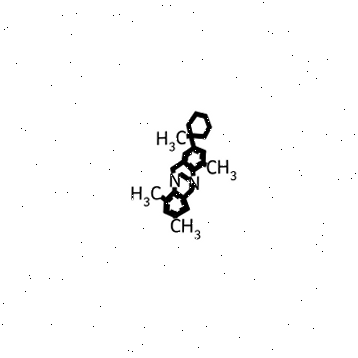 Cc1cc(C)c2c(c1)CN1CN2Cc2cc(C3(C)CCCCC3)cc(C)c21